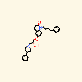 O=C1CCc2cc(OCC(O)CN3CCC(c4ccccc4)CC3)ccc2N1CCCCc1ccccc1